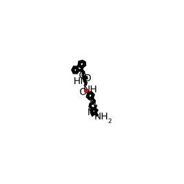 Nc1cnc2c(c1)CN(Cc1ccc(C(=O)NCCNC(=O)OCC3c4ccccc4-c4ccccc43)cc1)CC2